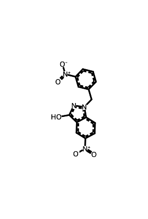 O=[N+]([O-])c1cccc(Cn2nc(O)c3cc([N+](=O)[O-])ccc32)c1